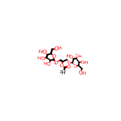 [2H]C(=O)OC(COC1OC(CO)C(O)C(O)C1O)COC1OC(CO)C(O)C(O)C1O